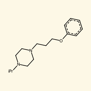 CC(C)N1CCN(CCCOc2ccccc2)CC1